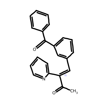 CC(=O)/C(=C/c1cccc(C(=O)c2ccccc2)c1)c1ccccn1